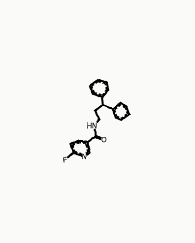 O=C(NCCC(c1ccccc1)c1ccccc1)c1ccc(F)nc1